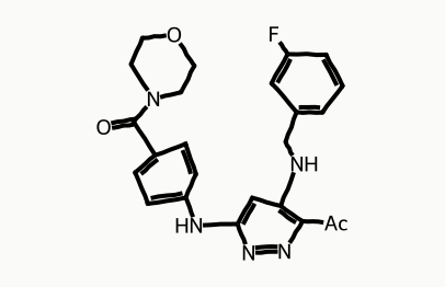 CC(=O)c1nnc(Nc2ccc(C(=O)N3CCOCC3)cc2)cc1NCc1cccc(F)c1